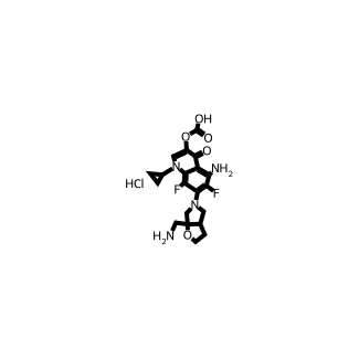 Cl.NCC12CN(c3c(F)c(N)c4c(=O)c(OC(=O)O)cn(C5CC5)c4c3F)CC1CCO2